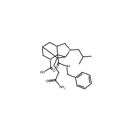 CC(C)CN1CC2CC3CN(C(=O)O)C2(C(=O)NCc2ccccc2)C1C3CCC(N)=O